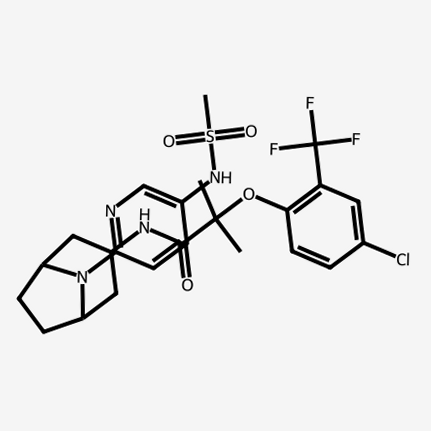 CC(C)(Oc1ccc(Cl)cc1C(F)(F)F)C(=O)NC1CC2CCC(C1)N2c1ccc(NS(C)(=O)=O)cn1